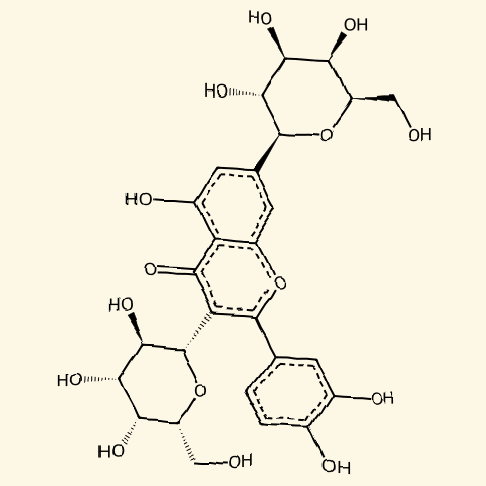 O=c1c([C@@H]2O[C@H](CO)[C@H](O)[C@H](O)[C@H]2O)c(-c2ccc(O)c(O)c2)oc2cc([C@@H]3O[C@H](CO)[C@H](O)[C@H](O)[C@H]3O)cc(O)c12